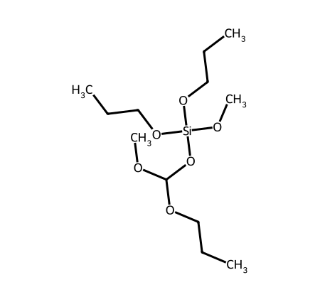 CCCOC(OC)O[Si](OC)(OCCC)OCCC